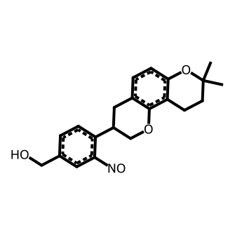 CC1(C)CCc2c(ccc3c2OCC(c2ccc(CO)cc2N=O)C3)O1